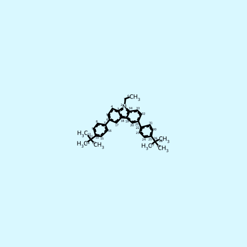 CCn1c2ccc(-c3ccc(C(C)(C)C)cc3)cc2c2cc(-c3ccc(C(C)(C)C)cc3)ccc21